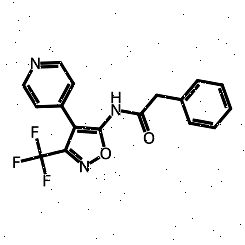 O=C(Cc1ccccc1)Nc1onc(C(F)(F)F)c1-c1ccncc1